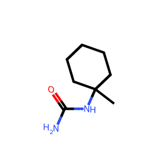 CC1(NC(N)=O)CCCCC1